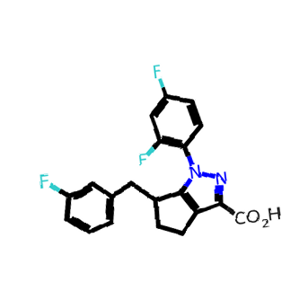 O=C(O)c1nn(-c2ccc(F)cc2F)c2c1CCC2Cc1cccc(F)c1